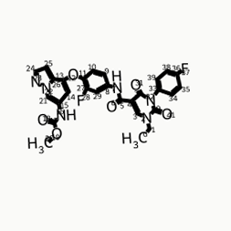 CCn1cc(C(=O)Nc2ccc(Oc3cc(NC(=O)OC)cn4nccc34)c(F)c2)c(=O)n(-c2ccc(F)cc2)c1=O